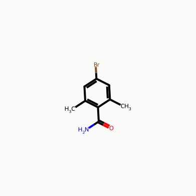 Cc1cc(Br)cc(C)c1C(N)=O